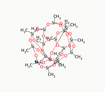 C[Si]12O[Si]3(C)O[Si]4(C)O[Si](C)(O1)O[Si]1(C)O[Si]5(C)O[Si]6(C)O[Si]7(C)O[Si]8(C)O[Si](C)(O6)O[Si](C)(O1)O[Si](C)(O4)O[Si](C)(O8)O[Si](C)(O3)O[Si](C)(O7)O[Si](C)(O2)O5